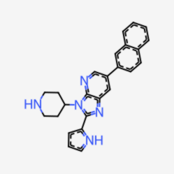 c1c[nH]c(-c2nc3cc(-c4ccc5ccccc5c4)cnc3n2C2CCNCC2)c1